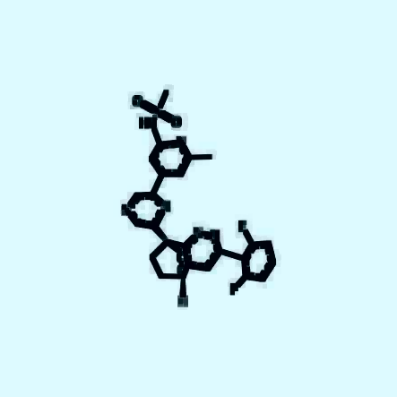 Cc1cc(-c2cncc([C@@]34CCC[C@@H](CC3)c3cc(-c5c(F)cccc5F)nnc34)n2)cc(NS(C)(=O)=O)n1